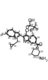 Cc1c(-c2cc3ccc(F)cc3n2CC2CC2)nc2cc(C(=O)N3CCC[C@@H](N)C3)ccn12.O=C(O)C(F)(F)F